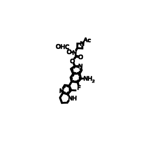 CC(=O)N1CC(N(OC=O)C(=O)Oc2cc3cc(-c4cnc5c(c4C)NCCC5)c(F)c(N)c3cn2)C1